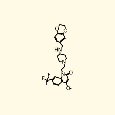 COc1cc(=O)n(CCN2CCC(NCc3ccc4c(c3)OCCO4)CC2)c2cc(C(F)(F)F)ccc12